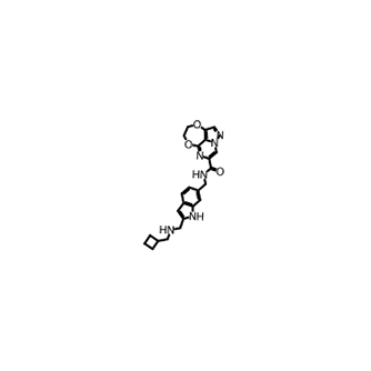 O=C(NCc1ccc2cc(CNCC3CCC3)[nH]c2c1)c1cn2ncc3c2c(n1)OCCO3